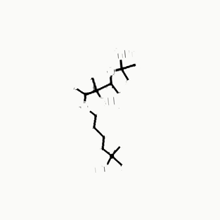 BC(C)(C(C)OCCCCC(C)(C)C(C)C)C(C)OC(C)(C)CCC